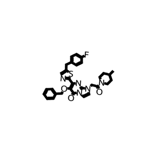 CC1CCN(C(=O)Cn2ccn3c(=O)c(OCc4ccccc4)c(-c4ncc(Cc5ccc(F)cc5)s4)nc23)CC1